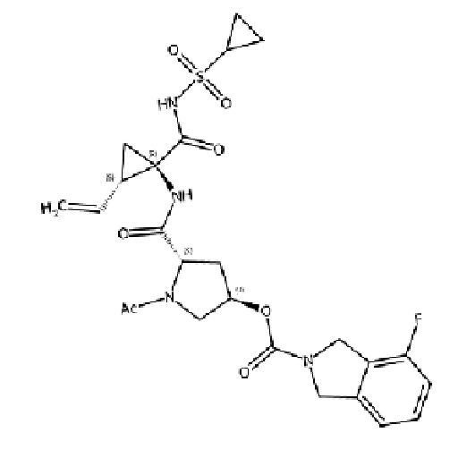 C=C[C@@H]1C[C@]1(NC(=O)[C@@H]1C[C@@H](OC(=O)N2Cc3cccc(F)c3C2)CN1C(C)=O)C(=O)NS(=O)(=O)C1CC1